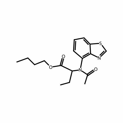 CCCCOC(=O)C(CC)N(C(C)=O)c1cccc2scnc12